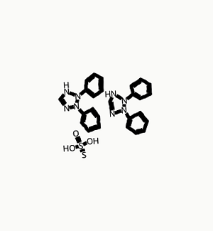 C1=NN(c2ccccc2)N(c2ccccc2)N1.C1=NN(c2ccccc2)N(c2ccccc2)N1.O=S(O)(O)=S